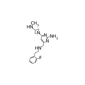 CNC1CN(c2cc(CNCCc3ccccc3F)nc(N)n2)C1